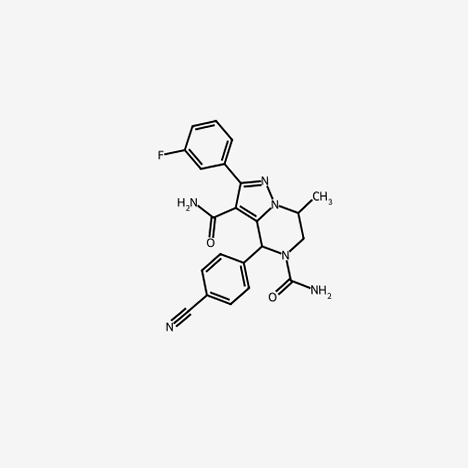 CC1CN(C(N)=O)C(c2ccc(C#N)cc2)c2c(C(N)=O)c(-c3cccc(F)c3)nn21